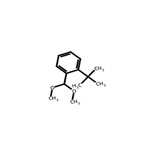 COC(OC)c1ccccc1C(C)(C)C